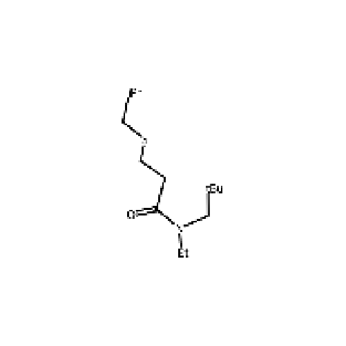 CCN(CC(C)(C)C)C(=O)CCSCC(C)C